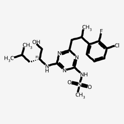 CC(C)C[C@H](CO)Nc1nc(CC(C)c2cccc(Cl)c2F)nc(NS(C)(=O)=O)n1